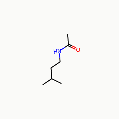 [CH2]C(C)CCNC(C)=O